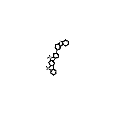 C[Si]1(C)c2ccccc2-c2cc3c(cc21)[Si](C)(C)c1cc(-c2ccc4sc5ccccc5c4c2)ccc1-3